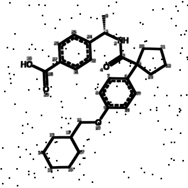 C[C@H](NC(=O)C1(c2ccc(OCC3CCCCC3)cc2)CCCC1)c1ccc(C(=O)O)cc1